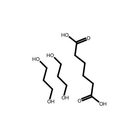 O=C(O)CCCCC(=O)O.OCCCO.OCCCO